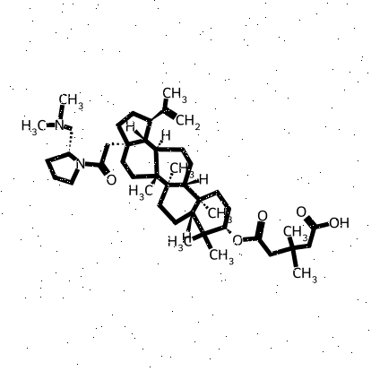 C=C(C)[C@@H]1CC[C@]2(CC(=O)N3CCC[C@@H]3CN(C)C)CC[C@]3(C)[C@H](CC[C@@H]4[C@@]5(C)CC[C@H](OC(=O)CC(C)(C)CC(=O)O)C(C)(C)[C@@H]5CC[C@]43C)[C@@H]12